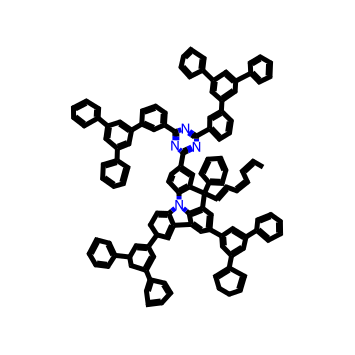 C\C=C/C=C\C=C\C1(c2ccccc2)c2cc(-c3nc(-c4cccc(-c5cc(-c6ccccc6)cc(-c6ccccc6)c5)c4)nc(-c4cccc(-c5cc(-c6ccccc6)cc(-c6ccccc6)c5)c4)n3)ccc2-n2c3c(c4cc(-c5cc(C6=CCCC=C6)cc(-c6ccccc6)c5)cc1c42)=CC(C1=CC(c2ccccc2)CC(c2ccccc2)=C1)CC=3